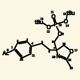 CC(=O)c1ccc(CCC2(COP(=O)(OC(C)(C)C)OC(C)(C)C)COC(C)=N2)cc1